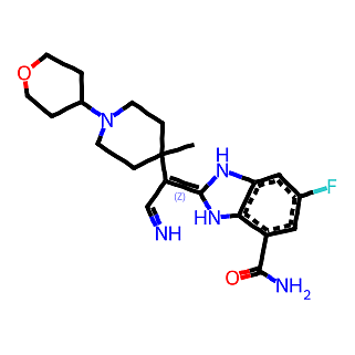 CC1(/C(C=N)=C2\Nc3cc(F)cc(C(N)=O)c3N2)CCN(C2CCOCC2)CC1